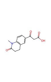 CN1C(=O)CCc2cc(C(=O)CC(=O)O)ccc21